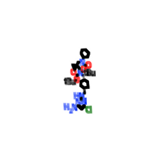 CC(C)(C)OC(=O)N(CC1(CN(C(=O)OC(C)(C)C)C2CCCCC2)CC1)C[C@H]1CC[C@H](CNc2nc(N)cc(Cl)n2)CC1